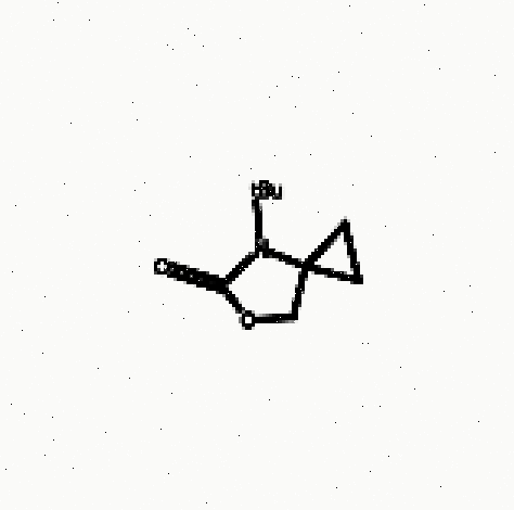 CC(C)(C)N1C(=O)OCC12CC2